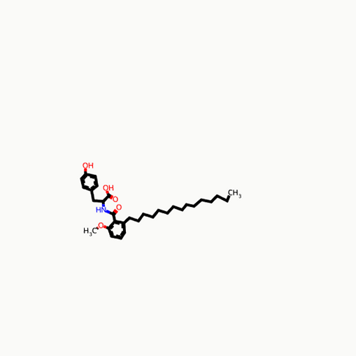 CCCCCCCCCCCCCCCc1cccc(OC)c1C(=O)NC(Cc1ccc(O)cc1)C(=O)O